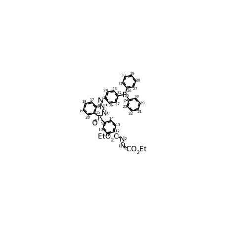 CCOC(=O)N=NC(=O)OCC.[N-]=[N+]=NP(=O)(c1ccccc1)c1ccccc1.c1ccc(P(c2ccccc2)c2ccccc2)cc1